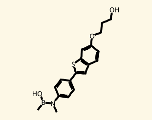 CB(O)N(C)c1ccc(-c2cc3ccc(OCCCO)cc3s2)cc1